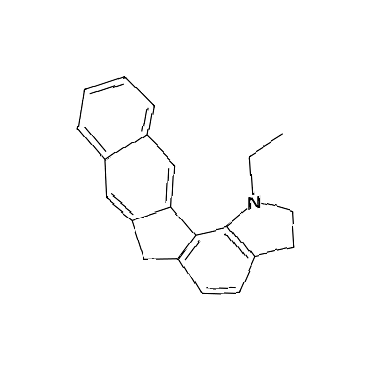 CCN1CCc2ccc3c(c21)-c1cc2ccccc2cc1C3